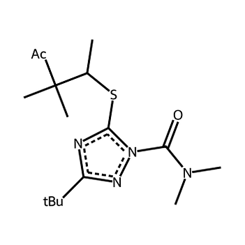 CC(=O)C(C)(C)C(C)Sc1nc(C(C)(C)C)nn1C(=O)N(C)C